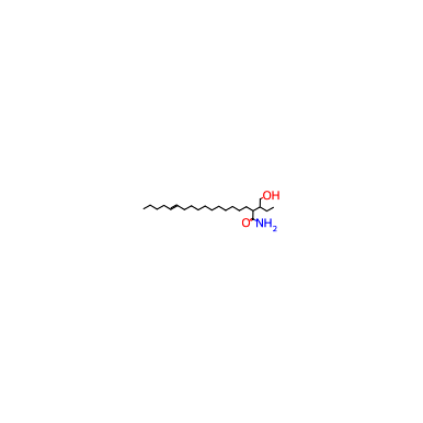 CCCCC=CCCCCCCCCCCC(C(N)=O)C(CC)CO